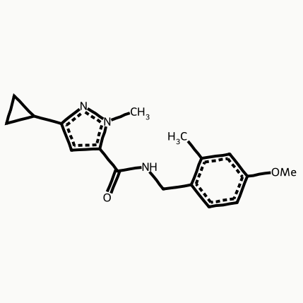 COc1ccc(CNC(=O)c2cc(C3CC3)nn2C)c(C)c1